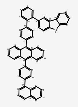 c1ccc(-c2ccc3oc4ccccc4c3c2)c(-c2ccc(-c3c4ccccc4c(-c4ccc(-c5cccc6ccccc56)cc4)c4ccccc34)cc2)c1